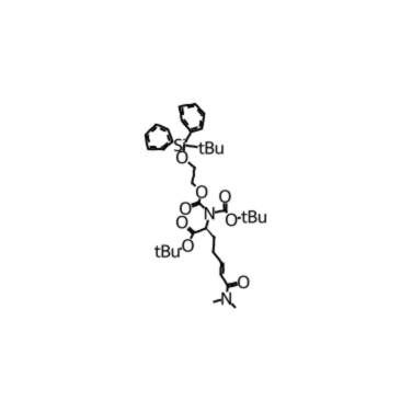 CN(C)C(=O)/C=C/CC[C@@H](C(=O)OC(C)(C)C)N(C(=O)OCCO[Si](c1ccccc1)(c1ccccc1)C(C)(C)C)C(=O)OC(C)(C)C